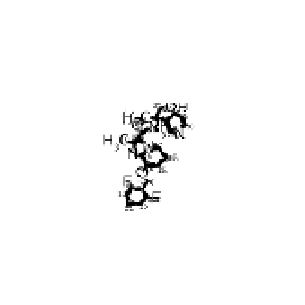 Cc1nc2c(OCc3c(F)cccc3F)cccn2c1C(=O)NC(C)(CO)c1cccnc1